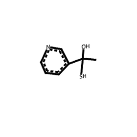 CC(O)(S)c1cccnc1